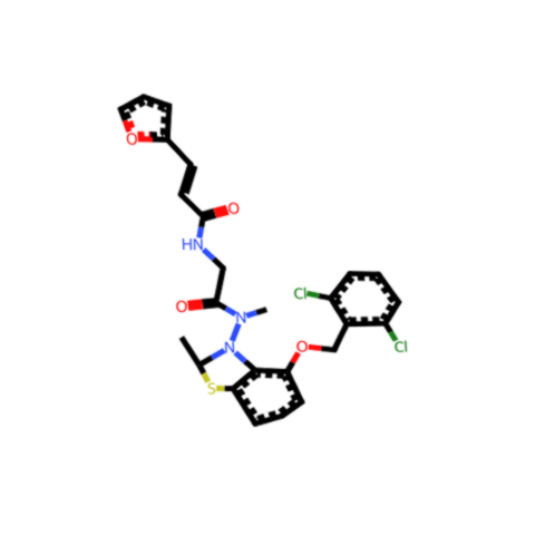 CC1Sc2cccc(OCc3c(Cl)cccc3Cl)c2N1N(C)C(=O)CNC(=O)C=Cc1ccco1